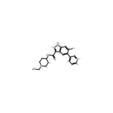 CC(C)CN1CCC(NC(=O)c2n[nH]c3cc(F)c(-c4cccnc4)cc23)CC1